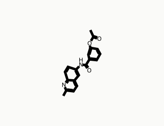 CC(=O)Oc1cccc(C(=O)Nc2ccc3nc(C)ccc3c2)c1